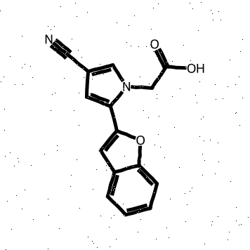 N#Cc1cc(-c2cc3ccccc3o2)n(CC(=O)O)c1